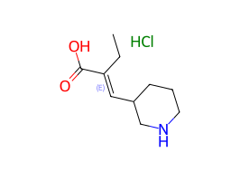 CC/C(=C\C1CCCNC1)C(=O)O.Cl